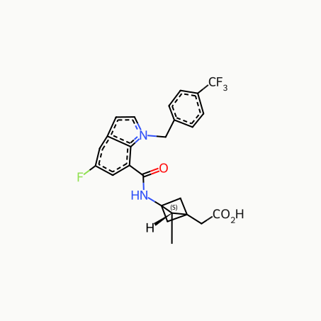 C[C@H]1C2(CC(=O)O)CC1(NC(=O)c1cc(F)cc3ccn(Cc4ccc(C(F)(F)F)cc4)c13)C2